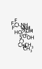 CN(C)c1cccc2cc(SC3OC(CO)C(O)C(N(N)/C=C(\N)c4cc(F)c(F)c(F)c4)C3O)ccc12